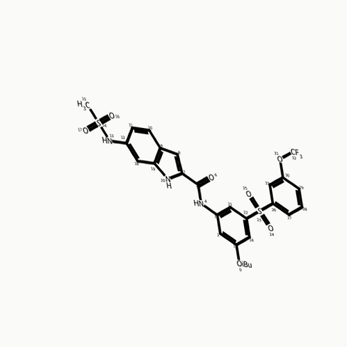 CC(C)COc1cc(NC(=O)c2cc3ccc(NS(C)(=O)=O)cc3[nH]2)cc(S(=O)(=O)c2cccc(OC(F)(F)F)c2)c1